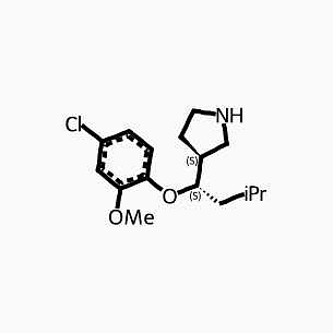 COc1cc(Cl)ccc1O[C@@H](CC(C)C)[C@H]1CCNC1